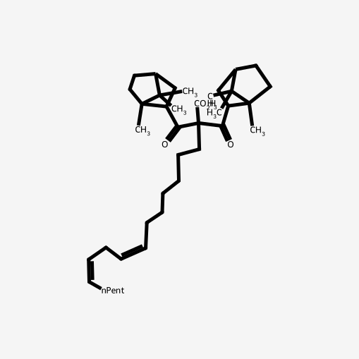 CCCCC/C=C\C/C=C\CCCCCCC(C(=O)O)(C(=O)C1CC2CCC1(C)C2(C)C)C(=O)C1CC2CCC1(C)C2(C)C